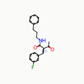 CC(=O)/C(=C/c1cccc(F)c1)C(=O)NCCCc1ccccc1